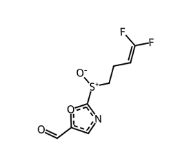 O=Cc1cnc([S+]([O-])CCC=C(F)F)o1